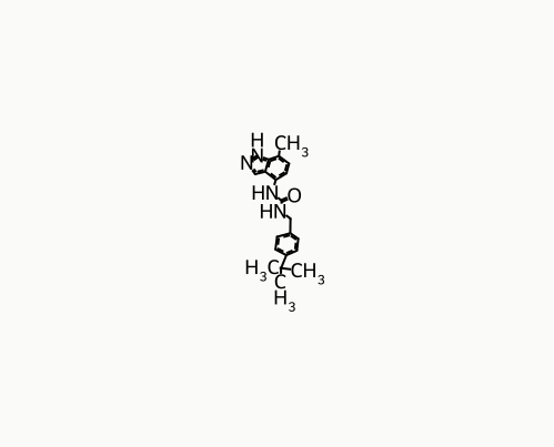 Cc1ccc(NC(=O)NCc2ccc(C(C)(C)C)cc2)c2cn[nH]c12